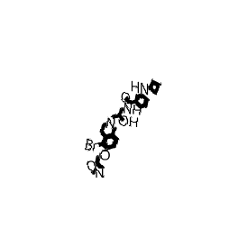 O=C(NCC(O)CN1CCc2c(ccc(OCc3cnco3)c2Br)C1)c1cccc(NC2CCC2)c1